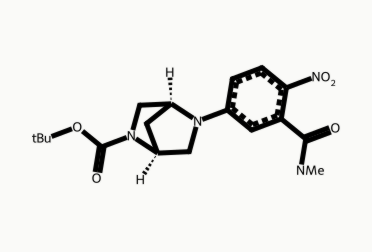 CNC(=O)c1cc(N2C[C@@H]3C[C@H]2CN3C(=O)OC(C)(C)C)ccc1[N+](=O)[O-]